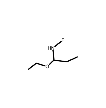 CCOC(CC)NF